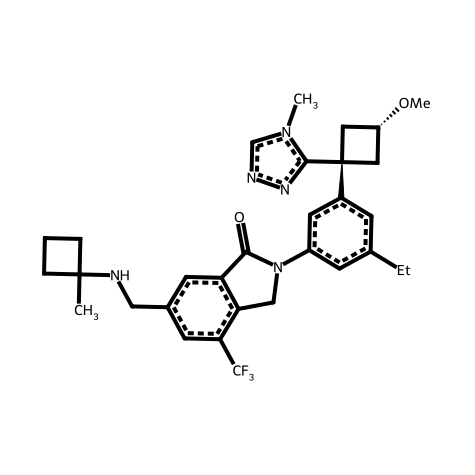 CCc1cc(N2Cc3c(cc(CNC4(C)CCC4)cc3C(F)(F)F)C2=O)cc([C@]2(c3nncn3C)C[C@@H](OC)C2)c1